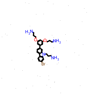 NCCCOc1cc(OCCCN)cc(-c2ccc3c4ccc(Br)cc4n(CCCN)c3c2)c1